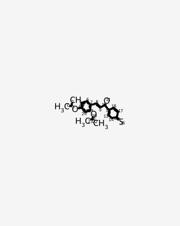 CC(C)Oc1ccc(C=CC(=O)C2=CCC(=S)C=C2)c(OC(C)C)c1